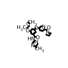 COC[C@@H](C)Oc1cc(Oc2ccc(C(=O)N3CCC3)nc2)cc(C(=O)Nc2cnc(C)cn2)c1